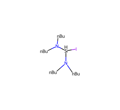 CCCCN(CCCC)[SiH](I)N(CCCC)CCCC